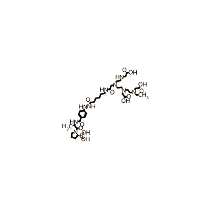 CCN(CCN(CCN(CCNCC(=O)O)CC(=O)NCCCCCC(=O)NNc1ccc(C(=O)N[C@H](C)C(=O)N2CCC[C@H]2B(O)O)cc1)CC(=O)O)CC(=O)O